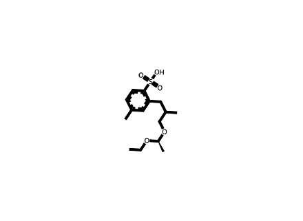 CCO[C@H](C)OCC(C)Cc1cc(C)ccc1S(=O)(=O)O